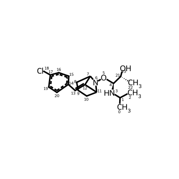 CC(C)N[C@@H](ON1C2CCCC1C2=Cc1ccc(Cl)cc1)[C@@H](C)O